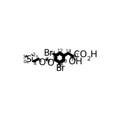 C[Si](C)(C)CCOCOc1c(Br)cc(C[C@@H](O)C(=O)O)cc1Br